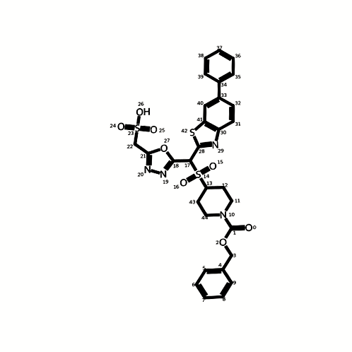 O=C(OCc1ccccc1)N1CCC(S(=O)(=O)C(c2nnc(CS(=O)(=O)O)o2)c2nc3ccc(-c4ccccc4)cc3s2)CC1